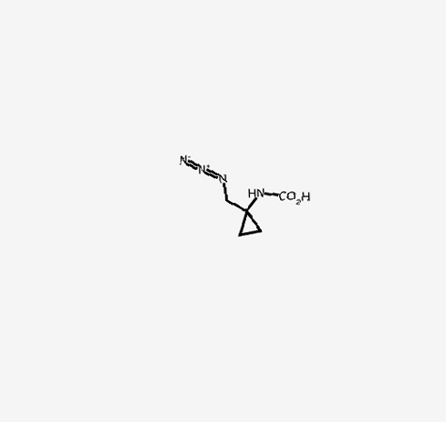 [N-]=[N+]=NCC1(NC(=O)O)CC1